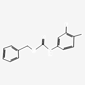 Cc1ccc(NC(=O)OCc2ccccc2)cc1F